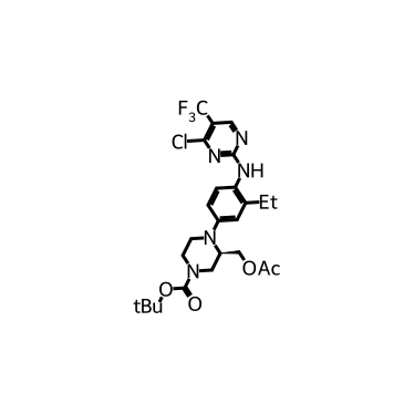 CCc1cc(N2CCN(C(=O)OC(C)(C)C)C[C@@H]2COC(C)=O)ccc1Nc1ncc(C(F)(F)F)c(Cl)n1